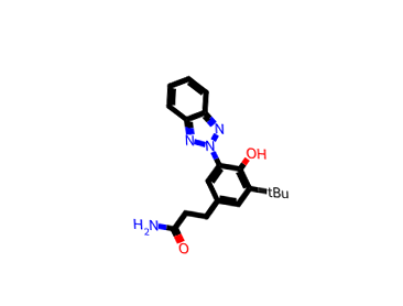 CC(C)(C)c1cc(CCC(N)=O)cc(-n2nc3ccccc3n2)c1O